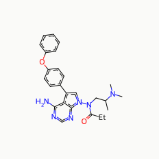 CCC(=O)N(CC(C)N(C)C)n1cc(-c2ccc(Oc3ccccc3)cc2)c2c(N)ncnc21